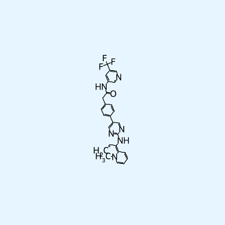 C=C/C(Nc1ncc(-c2ccc(CC(=O)Nc3cncc(C(F)(F)F)c3)cc2)cn1)=C1/C=CC=CN1C